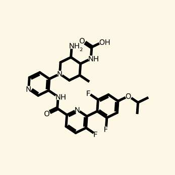 CC(C)Oc1cc(F)c(-c2nc(C(=O)Nc3cnccc3N3CC(C)C(NC(=O)O)C(N)C3)ccc2F)c(F)c1